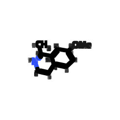 COc1ccc2c[c]nc(C)c2c1